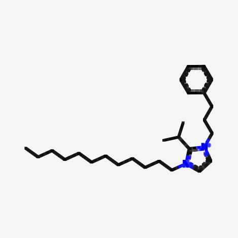 CCCCCCCCCCCCn1cc[n+](CCCc2ccccc2)c1C(C)C